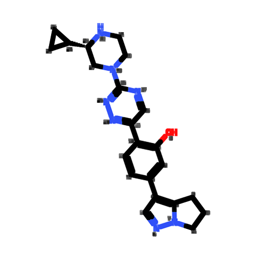 Oc1cc(-c2cnn3c2CCC3)ccc1-c1cnc(N2CCN[C@@H](C3CC3)C2)nn1